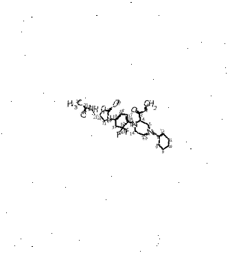 C=CC(=O)C1CN(C2CCCCC2)CCN1C1=CC=C(N2C[C@H](CNC(C)=O)OC2=O)CC1(F)F